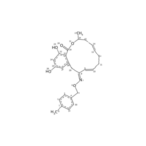 Cc1ccc(CON=C2/C=C/CC/C=C/CC(C)OC(=O)c3c(O)cc(O)cc3C2)cc1